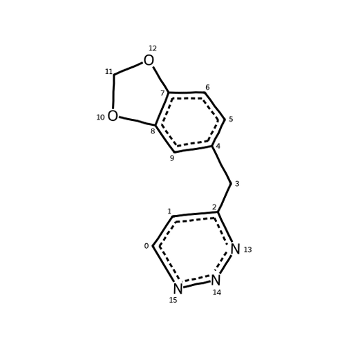 c1cc(Cc2ccc3c(c2)OCO3)nnn1